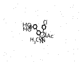 CC(=O)C[C@@H]1N=C(c2ccc(Cl)cc2)c2cc(-c3cccc(B(O)O)c3)ccc2-n2c(C)nnc21